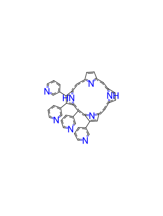 C1=Cc2cc3[nH]c(c(-c4cccnc4)c4nc(cc5ccc(cc1n2)[nH]5)C=C4c1cccnc1)c(-c1cccnc1)c3-c1cccnc1